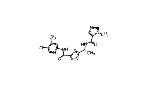 C[C@@H](NC(=O)c1cncn1C)c1ncc(C(=O)Nc2cc(C(F)(F)F)c(Cl)cn2)s1